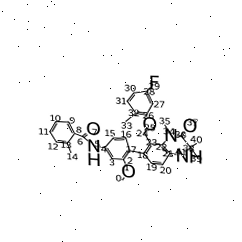 COc1cc(NC(=O)c2ccccc2C)ccc1-c1ccc2c(c1COc1cc(F)ccc1C)N(C)C(=O)C(C)(C)N2